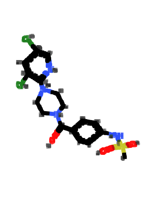 CS(=O)(=O)Nc1ccc(C(=O)N2CCN(c3ncc(Cl)cc3Cl)CC2)cc1